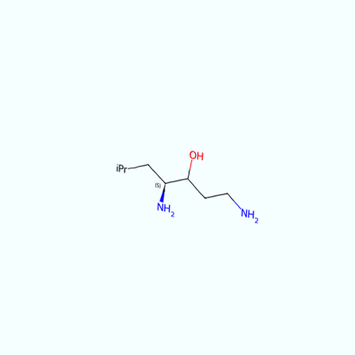 CC(C)C[C@H](N)C(O)CCN